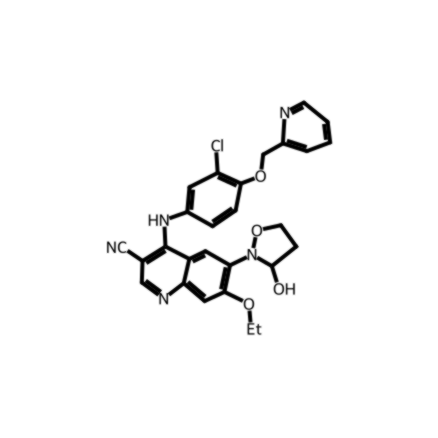 CCOc1cc2ncc(C#N)c(Nc3ccc(OCc4ccccn4)c(Cl)c3)c2cc1N1OCCC1O